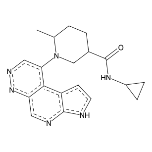 CC1CCC(C(=O)NC2CC2)CN1c1cnnc2cnc3[nH]ccc3c12